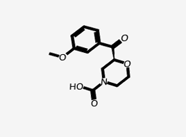 COc1cccc(C(=O)[C@@H]2CN(C(=O)O)CCO2)c1